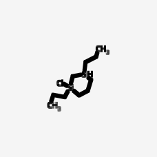 CCC[SiH]1CCC[Si](Cl)(CCC)C1